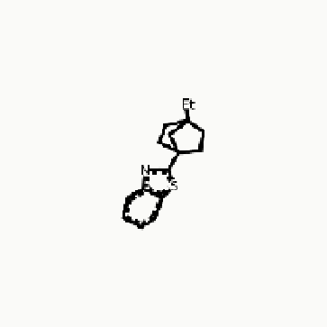 CCC12CCC(c3nc4ccccc4s3)(CC1)C2